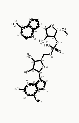 CO[C@H]1O[C@@H](n2cnc3c(N)ncnc32)C(O)C1OP(=O)(O)OC[C@H]1O[C@@H](n2cnc3c(N)nc(F)nc32)C(F)C1O